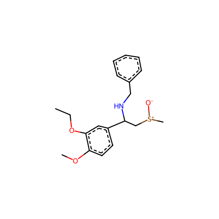 CCOc1cc(C(C[S+](C)[O-])NCc2ccccc2)ccc1OC